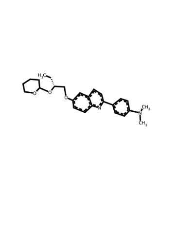 CC[C@H](COc1ccc2nc(-c3ccc(N(C)C)cc3)ccc2c1)OC1CCCCO1